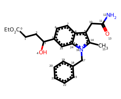 CCOC(=O)CCC(O)c1ccc2c(CC(N)=O)c(C)n(Cc3ccccc3)c2c1